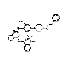 COc1cc(N2CCN(C(=O)OCc3ccccc3)CC2)ccc1Nc1nc(NCc2ccccc2N(C)S(C)(=O)=O)c2cc[nH]c2n1